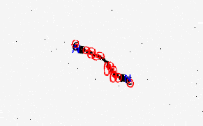 O=C=Nc1ccc(OCC(=O)OCOC(=O)CCCCC(=O)OCOC(=O)COc2ccc(N=C=O)cc2)cc1